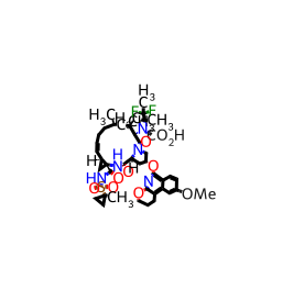 COc1ccc2c(O[C@@H]3C[C@H]4C(=O)N[C@]5(C(=O)NS(=O)(=O)C6(C)CC6)C[C@H]5C=CCC[C@@H](C)C[C@@H](C)[C@H](N(C(=O)O)C(C)(C)C(C)(F)F)C(=O)N4C3)nc3c(c2c1)CCCO3